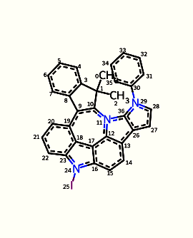 CC1(C)c2ccccc2-c2c1n1c3c(ccc4c3c3c2cccc3n4I)c2ccn(-c3ccccc3)c21